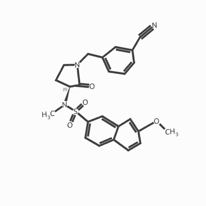 COc1ccc2ccc(S(=O)(=O)N(C)[C@H]3CCN(Cc4cccc(C#N)c4)C3=O)cc2c1